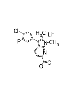 Cc1c(-c2ccc(Cl)c(F)c2)c2ccc(C(=O)[O-])nc2n1C.[Li+]